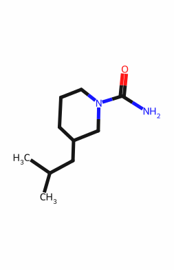 CC(C)CC1CCCN(C(N)=O)C1